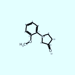 COc1ccccc1N1CCC(=O)C1